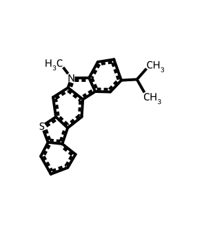 CC(C)c1ccc2c(c1)c1cc3c(cc1n2C)sc1ccccc13